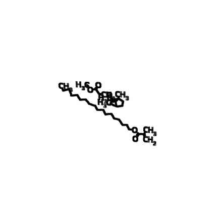 C=C(C)C(=O)OCCCCCCCCCCCCCCCCCC.C=CC(=O)OC.CC12CCC(CC1=O)C2(C)C